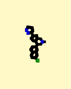 CN1Cc2cc(-c3cccnn3)ccc2C(c2ccc3ccc(Cl)cc3c2)C1